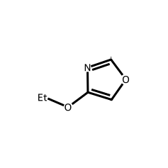 CCOc1co[c]n1